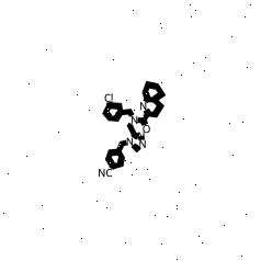 N#Cc1ccc(Cn2cnnc2CN(Cc2cccc(Cl)c2)C(=O)c2ccc3ccccc3n2)cc1